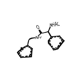 CC(=O)NC(C(=O)NCc1ccccc1)c1ccccc1